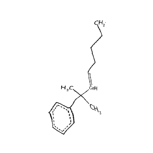 [CH2]CCC[CH]=[GeH][C](C)(C)c1ccccc1